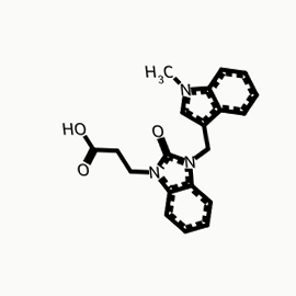 Cn1cc(Cn2c(=O)n(CCC(=O)O)c3ccccc32)c2ccccc21